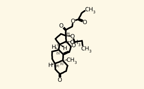 CCC(=O)OCC(=O)[C@@]1(OC(=O)CC)CC[C@H]2[C@@H]3CC[C@@H]4CC(=O)CC[C@]4(C)C3=CC[C@@]21C